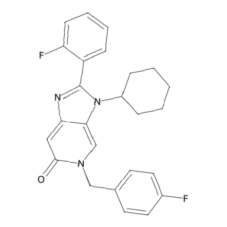 O=c1cc2nc(-c3ccccc3F)n(C3CCCCC3)c2cn1Cc1ccc(F)cc1